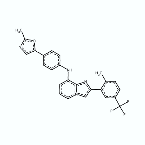 Cc1ncc(-c2ccc(Nc3cccn4cc(-c5cc(C(F)(F)F)ccc5C)nc34)cc2)o1